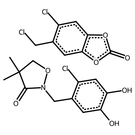 CC1(C)CON(Cc2cc(O)c(O)cc2Cl)C1=O.O=c1oc2cc(Cl)c(CCl)cc2o1